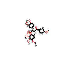 CCOc1cc(C/C(C(=O)c2ccc(OC)cc2)=C(\C(=O)O)c2ccc3c(c2)OCO3)cc(OC)c1OC